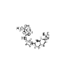 CC(C)(C)OC(=O)N[C@@H]1CCN(c2ccc3ccc(C(F)(F)F)cc3n2)C1